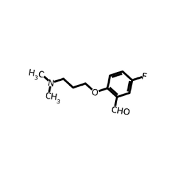 CN(C)CCCOc1ccc(F)cc1C=O